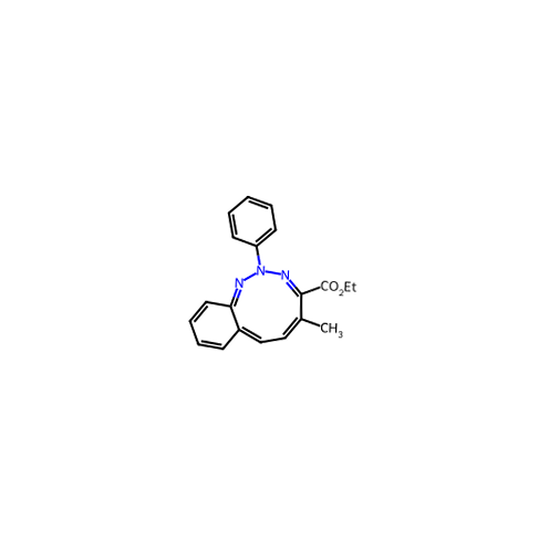 CCOC(=O)c1nn(-c2ccccc2)nc2ccccc2ccc1C